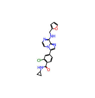 O=C(NC1CC1)c1ccc(-c2cnc3c(NCc4ccco4)nccn23)cc1Cl